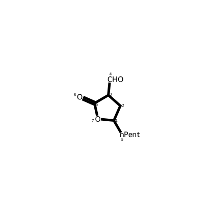 CCCCCC1CC(C=O)C(=O)O1